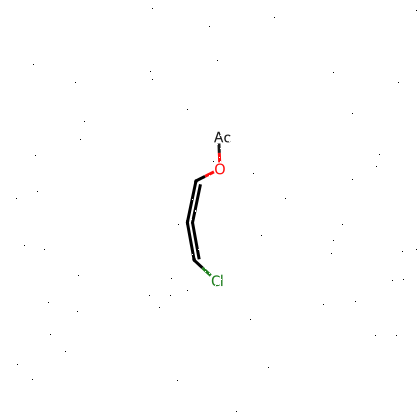 CC(=O)OC=C=CCl